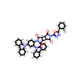 O=C1C2C(C(=O)N1c1nnc(-c3ccccc3Cl)o1)C1C(=O)N(c3ccc(-n4c5ccccc5c5ccccc54)cc3-n3c4ccccc4c4ccccc43)C(=O)C21